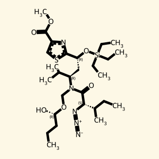 CCC[C@H](O)OCN(C(=O)[C@@H](N=[N+]=[N-])C(C)CC)[C@H](C[C@@H](O[Si](CC)(CC)CC)c1nc(C(=O)OC)cs1)C(C)C